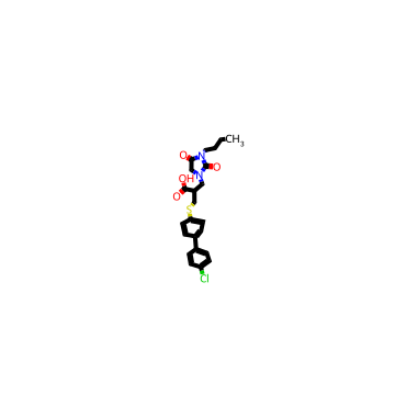 CCCCN1C(=O)CN(CC(CSc2ccc(-c3ccc(Cl)cc3)cc2)C(=O)O)C1=O